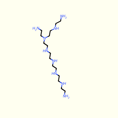 NCCNCCNCCNCCNCCN(CCN)CCNCCN